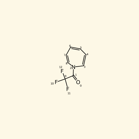 O=C(N1C=CC=CC=C1)C(F)(F)F